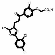 CC(C)C1OC(c2ccc(Cl)cc2Cl)=NC1CCC(=O)c1ccc(OCC(=O)O)c(Cl)c1